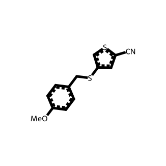 COc1ccc(CSc2csc(C#N)c2)cc1